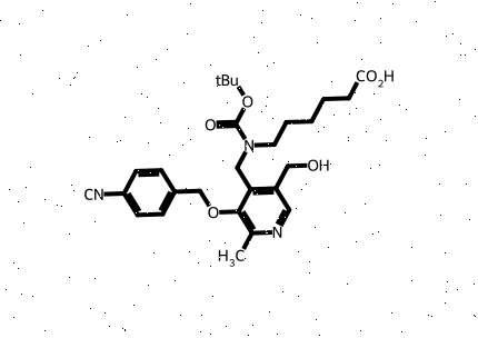 [C-]#[N+]c1ccc(COc2c(C)ncc(CO)c2CN(CCCCCC(=O)O)C(=O)OC(C)(C)C)cc1